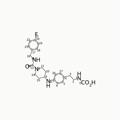 O=C(O)NCCc1ccc(NC2CCN(C(=O)NCc3ccc(F)cc3)CC2)cc1